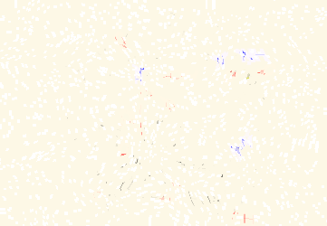 CC(=O)O[C@H]1C(=O)[C@@]2(C)[C@H]([C@H](OC(=O)c3ccccc3)[C@]3(O)C[C@H](OC(=O)[C@H](O)[C@@H](NC(=O)c4ccccc4)c4ccccc4)C(C)=C1C3(C)C)[C@]1(OC(C)=O)CO[C@@H]1C[C@@H]2O.O=C(O)c1cc(N=Nc2ccc(S(=O)(=O)Nc3ccccn3)cc2)ccc1O